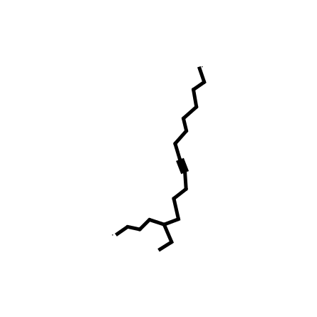 [CH2]CCCCCCC#CCCCC(CC)CCC[CH2]